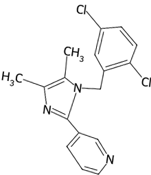 Cc1nc(-c2cccnc2)n(Cc2cc(Cl)ccc2Cl)c1C